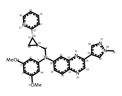 COc1cc(OC)cc(N(C[C@H]2C[C@@H]2c2ccccn2)c2ccc3ncc(-c4cnn(C)c4)nc3c2)c1